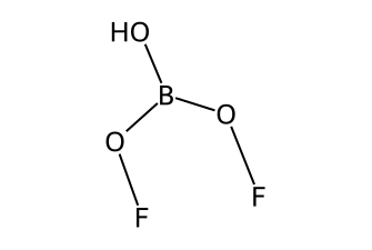 OB(OF)OF